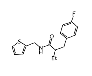 CCC(Cc1ccc(F)cc1)C(=O)NCc1cccs1